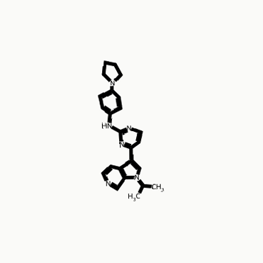 CC(C)n1cc(-c2ccnc(Nc3ccc(N4CCCC4)cc3)n2)c2ccncc21